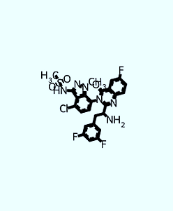 Cn1nc(NS(C)(=O)=O)c2c(Cl)ccc(-n3c(C(N)Cc4cc(F)cc(F)c4)nc4ccc(F)cc4c3=O)c21